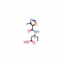 CC[C@@H](CC(=O)O)NC(=O)c1ocnc1C